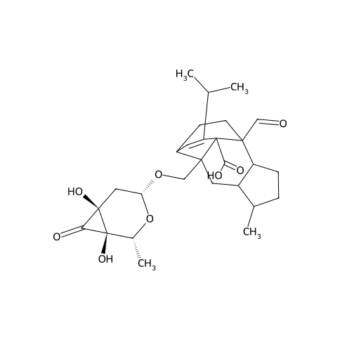 CC(C)C1=CC2CCC3(C=O)C4CCC(C)C4CC2(CO[C@H]2C[C@@]4(O)C(=O)[C@@]4(O)[C@@H](C)O2)C13C(=O)O